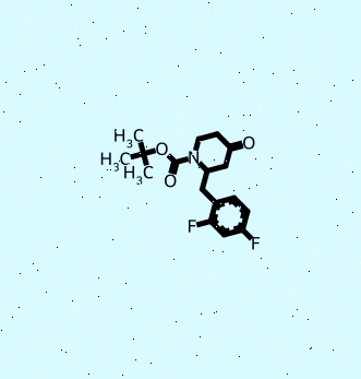 CC(C)(C)OC(=O)N1CCC(=O)CC1Cc1ccc(F)cc1F